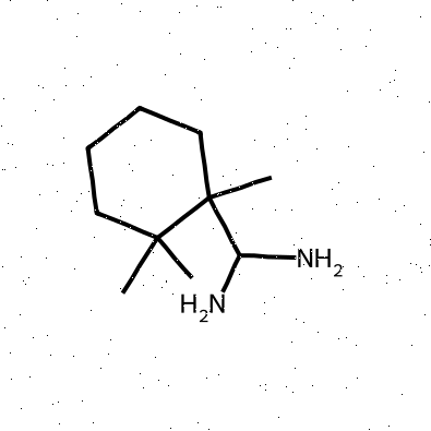 CC1(C)CCCCC1(C)C(N)N